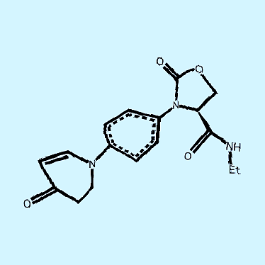 CCNC(=O)[C@@H]1COC(=O)N1c1ccc(N2C=CC(=O)CC2)cc1